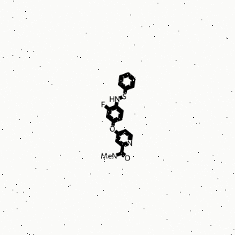 CNC(=O)c1cc(Oc2ccc(NSc3ccccc3)c(F)c2)ccn1